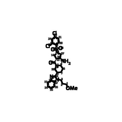 COCCCn1c([C@@H]2CCCN(C(=O)[C@@H]3CN(S(=O)(=O)c4ccc(Cl)cc4Cl)C[C@H]3N)C2)nc2ccccc21